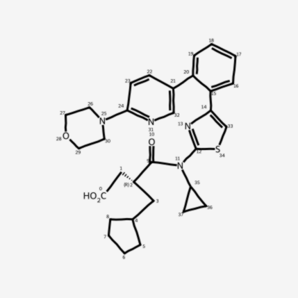 O=C(O)C[C@@H](CC1CCCC1)C(=O)N(c1nc(-c2ccccc2-c2ccc(N3CCOCC3)nc2)cs1)C1CC1